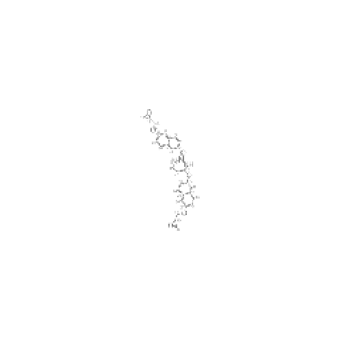 C1=NN(Oc2ccc3cc(OCC4CO4)ccc3c2)NC(Oc2ccc3cc(OCC4CO4)ccc3c2)=C1